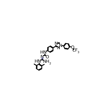 Cc1cccc(C)c1N/C(N)=N/C(=O)Nc1ccc(-c2ncn(-c3ccc(OC(F)(F)F)cc3)n2)cc1